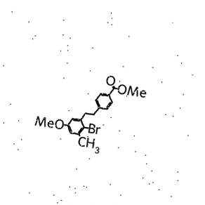 COC(=O)c1ccc(CCc2cc(OC)cc(C)c2Br)cc1